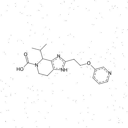 CC(C)C1c2nc(CCOc3cccnc3)[nH]c2CCN1C(=O)O